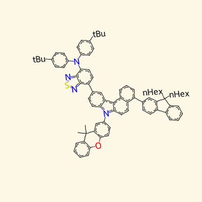 CCCCCCC1(CCCCCC)c2ccccc2-c2ccc(-c3cccc4c3ccc3c4c4cc(-c5ccc(N(c6ccc(C(C)(C)C)cc6)c6ccc(C(C)(C)C)cc6)c6nsnc56)ccc4n3-c3ccc4c(c3)C(C)(C)c3ccccc3O4)cc21